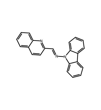 C(=Nn1c2ccccc2c2ccccc21)c1ccc2ccccc2n1